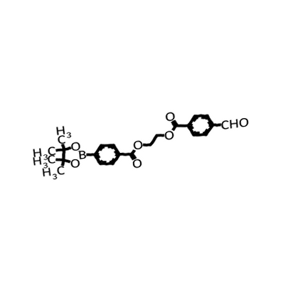 CC1(C)OB(c2ccc(C(=O)OCCOC(=O)c3ccc(C=O)cc3)cc2)OC1(C)C